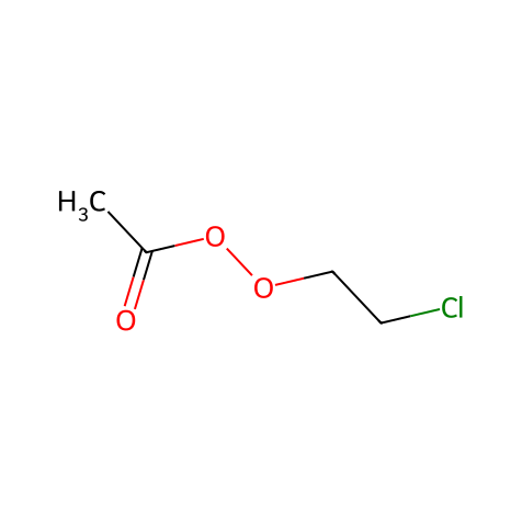 CC(=O)OOCCCl